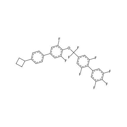 Fc1cc(-c2c(F)cc(C(F)(F)Oc3c(F)cc(-c4ccc(C5CCC5)cc4)cc3F)cc2F)cc(F)c1F